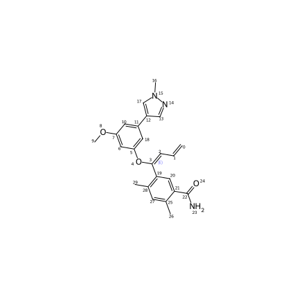 C=C/C=C(/Oc1cc(OC)cc(-c2cnn(C)c2)c1)c1cc(C(N)=O)c(C)cc1C